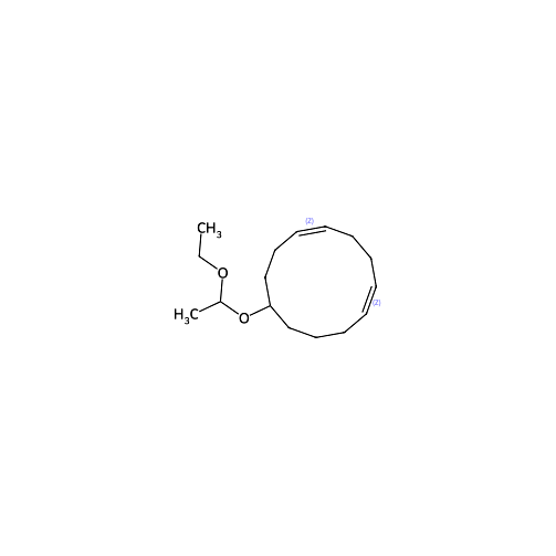 CCOC(C)OC1CC/C=C\CC/C=C\CCC1